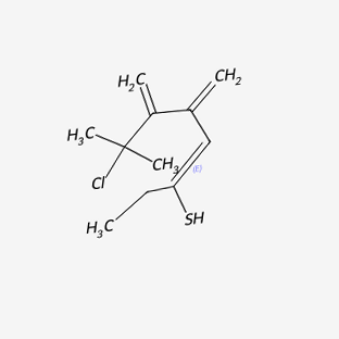 C=C(/C=C(/S)CC)C(=C)C(C)(C)Cl